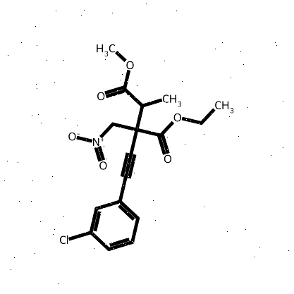 CCOC(=O)C(C#Cc1cccc(Cl)c1)(C[N+](=O)[O-])C(C)C(=O)OC